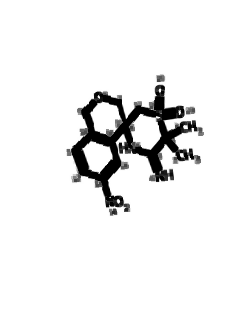 CC1(C)C(=N)N[C@@]2(COCc3ccc([N+](=O)[O-])cc32)CS1(=O)=O